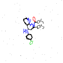 CC(=O)N1c2ncccc2[C@H](Nc2ccc(Cl)cc2)C[C@@H]1C